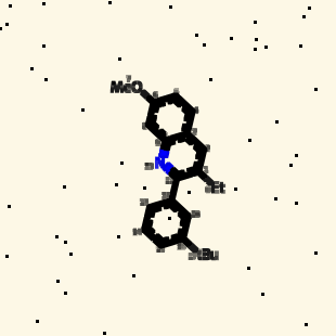 CCc1cc2ccc(OC)cc2nc1-c1cccc(C(C)(C)C)c1